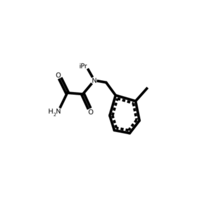 Cc1ccccc1CN(C(=O)C(N)=O)C(C)C